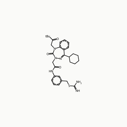 CC(C)(C)C(=O)CN1C(=O)N(CC(=O)Nc2cccc(CSC(=N)N)c2)N=C(C2CCCCC2)c2ccccc21